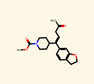 COC(=O)CC=C(c1ccc2c(c1)OCC2)C1CCN(C(=O)OC(C)(C)C)CC1